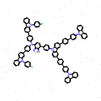 Fc1ccc(-n2c3ccccc3c3ccc(-c4ccc(N(c5ccc(-c6ccc7c8ccccc8n(-c8ccc(F)cc8)c7c6)cc5)c5ccc(-c6ccc(-n7c8ccc(-c9ccc(-c%10ccc(-n%11c%12ccccc%12c%12ccccc%12%11)cc%10)cc9)cc8c8cc(-c9ccc(-c%10ccc(-n%11c%12ccccc%12c%12ccccc%12%11)cc%10)cc9)ccc87)cc6)c6nsnc56)cc4)cc32)cc1